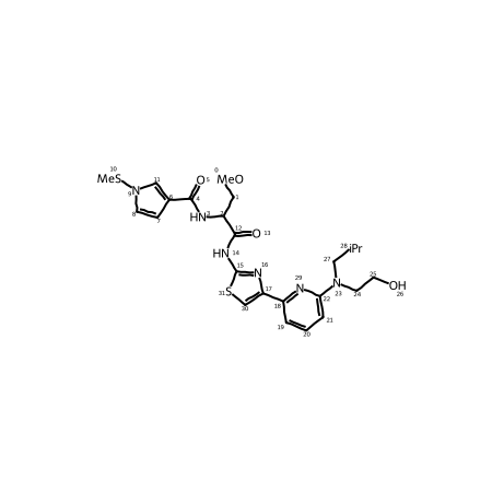 COCC(NC(=O)c1ccn(SC)c1)C(=O)Nc1nc(-c2cccc(N(CCO)CC(C)C)n2)cs1